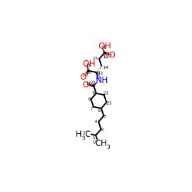 CC(C)CCCC1CCC(C(=O)N[C@@H](CCC(=O)O)C(=O)O)CC1